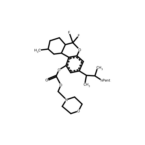 CCCCCC(C)C(C)c1cc(OC(=O)OCN2CCOCC2)c2c(c1)OC(F)(F)C1CCC(C)CC21